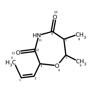 C/C=C\C1OC(C)C(C)C(=O)NC1=O